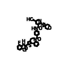 C#Cc1cnc(N2CC3(CCOCC3)C2)c(C(=O)Nc2ccc(C(=O)N3CCc4cc(C(=O)Nc5c(F)cccc5Cl)sc4-c4ccccc43)cc2)c1